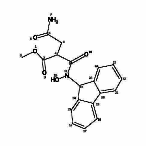 COC(=O)C(CC(N)=O)C(=O)N(O)C1c2ccccc2-c2ccccc21